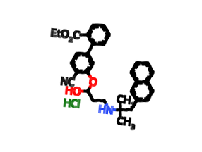 CCOC(=O)c1ccccc1-c1ccc(C#N)c(OC(O)CCNC(C)(C)Cc2ccc3ccccc3c2)c1.Cl